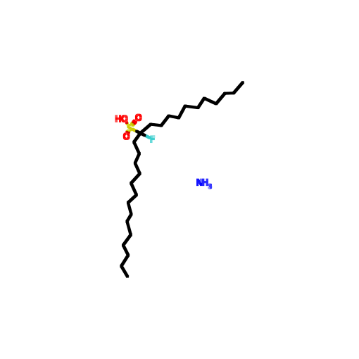 CCCCCCCCCCCCCCC(F)(CCCCCCCCCCC)S(=O)(=O)O.N